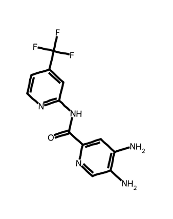 Nc1cnc(C(=O)Nc2cc(C(F)(F)F)ccn2)cc1N